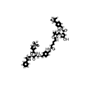 Cc1ncsc1-c1ccc(CNC(=O)[C@@H]2C[C@@H](O)CN2C(=O)[C@@H](NC(=O)CCCCC(=O)NCc2ccc(COC[C@H](NC(=O)c3ccn(S(C)(=O)=O)c3)C(=O)Nc3nc(-c4ccccc4)cs3)cc2)C(C)(C)C)cc1